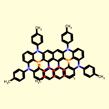 Cc1ccc(N2c3cccc4c3P3(=S)c5c2cccc5N(c2ccc(C)cc2)c2c3c(cc3cc5c6c(c23)N(c2ccc(C)cc2)c2cccc3c2P6(=S)c2c(cccc2N5c2ccc(C)cc2)N3c2ccc(C)cc2)N4c2ccc(C)cc2)cc1